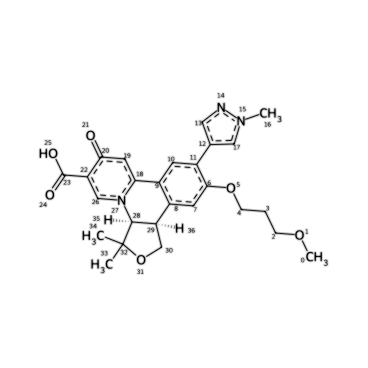 COCCCOc1cc2c(cc1-c1cnn(C)c1)-c1cc(=O)c(C(=O)O)cn1[C@H]1[C@@H]2COC1(C)C